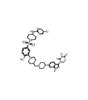 Cn1nc(N2CCC(=O)NC2=O)c2ccc(C3CCN(CC4CCN(c5cc(S(=O)(=O)N6CCC(Nc7ncc(Cl)cn7)CC6)ccc5C#N)CC4)CC3)cc21